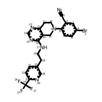 N#Cc1cc(Br)ccc1N1CCc2ncnc(NCCc3ccc(C(F)(F)F)nc3)c2C1